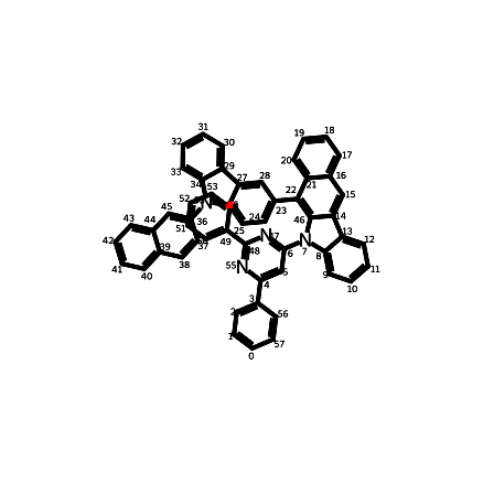 c1ccc(-c2cc(-n3c4ccccc4c4cc5ccccc5c(-c5ccc6c(c5)c5ccccc5n6-c5ccc6ccccc6c5)c43)nc(-c3ccccc3)n2)cc1